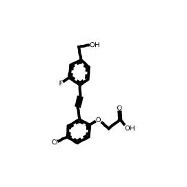 O=C(O)COc1ccc(Cl)cc1C#Cc1ccc(CO)cc1F